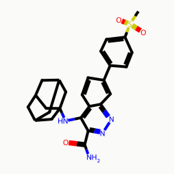 CS(=O)(=O)c1ccc(-c2ccc3c(NC45CC6CC(CC(C6)C4)C5)c(C(N)=O)nnc3c2)cc1